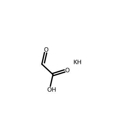 O=CC(=O)O.[KH]